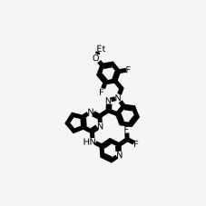 CCOc1cc(F)c(Cn2nc(-c3nc4c(c(Nc5ccnc(C(F)F)c5)n3)CCC4)c3ccccc32)c(F)c1